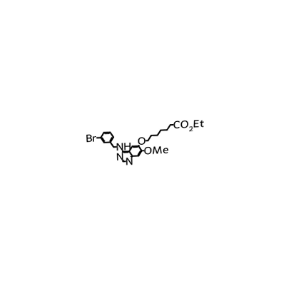 CCOC(=O)CCCCCCOc1cc2c(NCc3cccc(Br)c3)ncnc2cc1OC